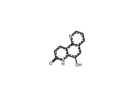 O=c1ccc2c([nH]1)c(O)cc1cccnc12